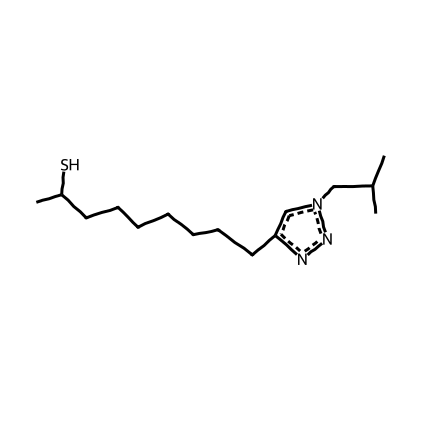 CC(C)Cn1cc(CCCCCCCC(C)S)nn1